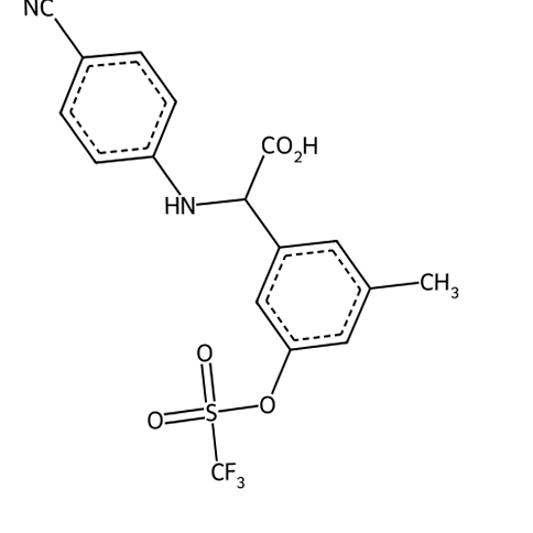 Cc1cc(OS(=O)(=O)C(F)(F)F)cc(C(Nc2ccc(C#N)cc2)C(=O)O)c1